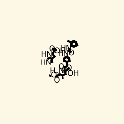 CCOC(=O)CC(C)C[C@](N)(C(=O)O)C(=O)Cc1ccc(NC(=O)Nc2ccccc2C)cc1.O=C(O)C1CC2CNCC2N1